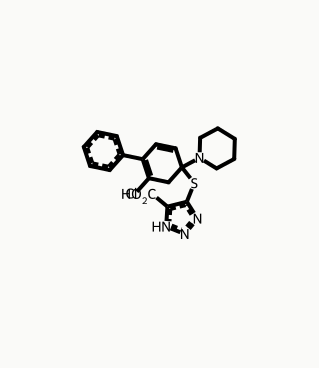 O=C(O)c1[nH]nnc1SC1(N2CCCCC2)C=CC(c2ccccc2)=C(Cl)C1